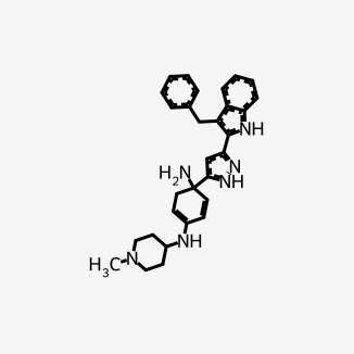 CN1CCC(NC2=CCC(N)(c3cc(-c4[nH]c5ccccc5c4Cc4ccccc4)n[nH]3)C=C2)CC1